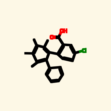 Cc1c(C)c(C)c(-c2ccc(Cl)cc2C(=O)O)c(-c2ccccc2)c1C